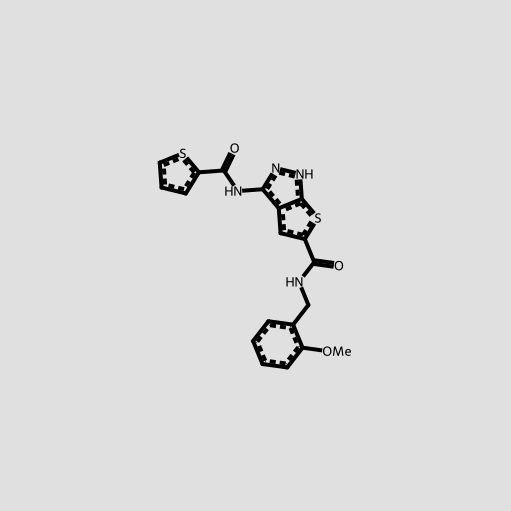 COc1ccccc1CNC(=O)c1cc2c(NC(=O)c3cccs3)n[nH]c2s1